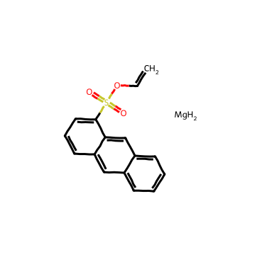 C=COS(=O)(=O)c1cccc2cc3ccccc3cc12.[MgH2]